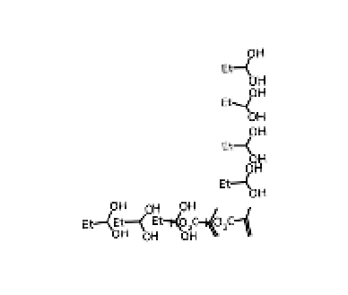 C=C(C)C(=O)O.C=C(C)C(=O)O.CCC(O)O.CCC(O)O.CCC(O)O.CCC(O)O.CCC(O)O.CCC(O)O.CCC(O)O